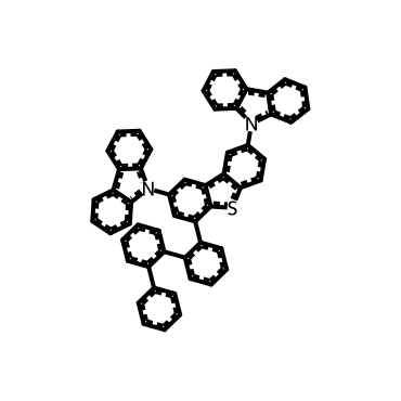 c1ccc(-c2ccccc2-c2ccccc2-c2cc(-n3c4ccccc4c4ccccc43)cc3c2sc2ccc(-n4c5ccccc5c5ccccc54)cc23)cc1